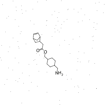 NCC1CCC(COC(=O)CC2CC3C=CC2C3)CC1